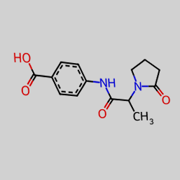 CC(C(=O)Nc1ccc(C(=O)O)cc1)N1CCCC1=O